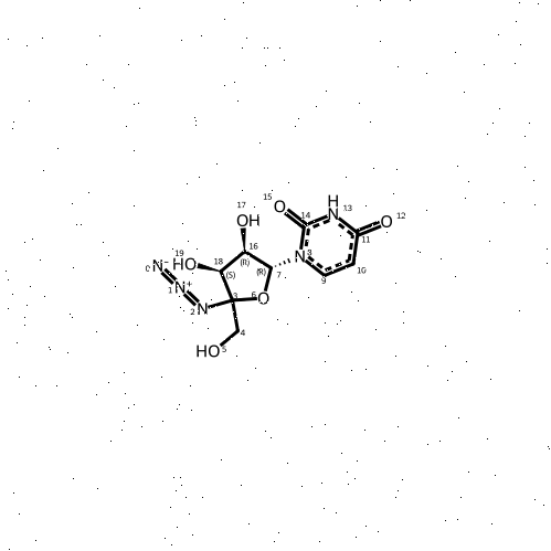 [N-]=[N+]=NC1(CO)O[C@@H](n2ccc(=O)[nH]c2=O)[C@H](O)[C@@H]1O